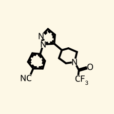 N#Cc1ccc(-n2nccc2C2CCN(C(=O)C(F)(F)F)CC2)cc1